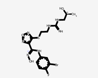 C[C@H](O)CNC(=N)NCCSc1nonc1/C(=N/O)Nc1ccc(F)c(Br)c1